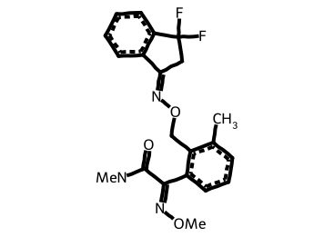 CNC(=O)/C(=N/OC)c1cccc(C)c1CO/N=C1\CC(F)(F)c2ccccc21